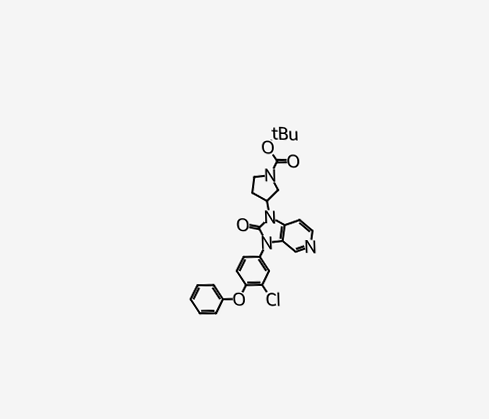 CC(C)(C)OC(=O)N1CCC(n2c(=O)n(-c3ccc(Oc4ccccc4)c(Cl)c3)c3cnccc32)C1